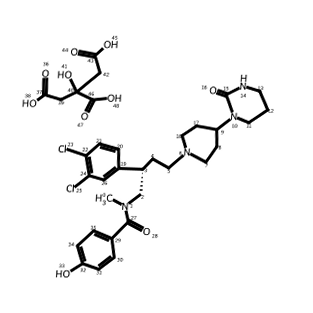 CN(C[C@@H](CCN1CCC(N2CCCNC2=O)CC1)c1ccc(Cl)c(Cl)c1)C(=O)c1ccc(O)cc1.O=C(O)CC(O)(CC(=O)O)C(=O)O